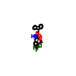 CC(C)(C)OC(=O)C(Cc1ccc(C(F)(F)F)c(Cl)c1)NC(=O)OCC1c2ccccc2-c2ccccc21